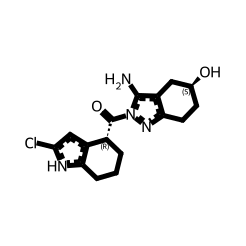 Nc1c2c(nn1C(=O)[C@@H]1CCCc3[nH]c(Cl)cc31)CC[C@H](O)C2